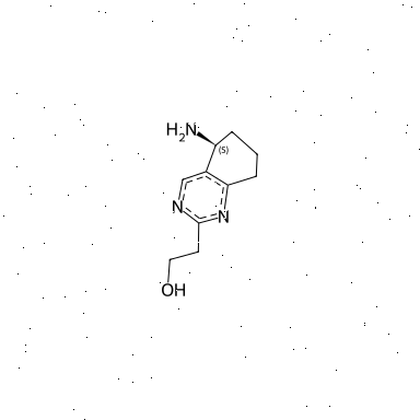 N[C@H]1CCCc2nc(CCO)ncc21